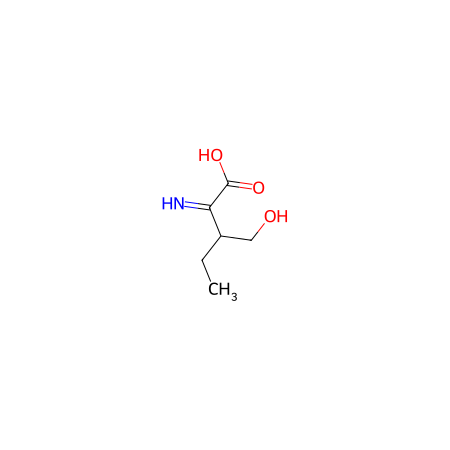 CCC(CO)C(=N)C(=O)O